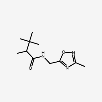 Cc1noc(CNC(=O)C(C)C(C)(C)C)n1